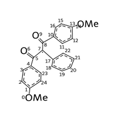 COc1ccc(C(=O)[C](C(=O)c2ccc(OC)cc2)c2ccccc2)cc1